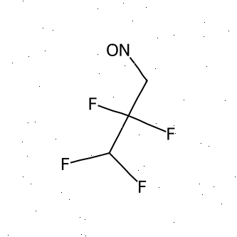 O=NCC(F)(F)C(F)F